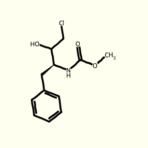 COC(=O)N[C@@H](Cc1ccccc1)C(O)CCl